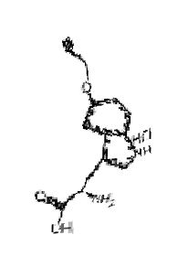 C#CCOc1ccc2[nH]cc(C[C@@H](N)C(=O)O)c2c1.Cl